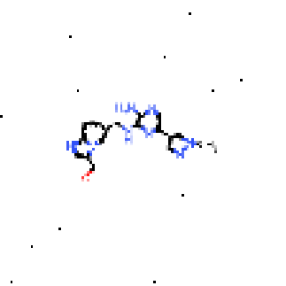 Cn1cc(-c2cnc(N)c(NCc3ccc4ncc(C=O)n4c3)n2)cn1